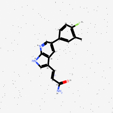 Cc1cc(-c2cnc3[nH]cc(/C=C/C(N)=O)c3c2)ccc1F